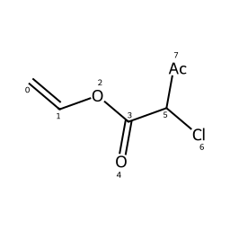 C=COC(=O)C(Cl)C(C)=O